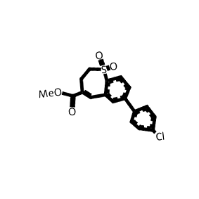 COC(=O)C1=Cc2cc(-c3ccc(Cl)cc3)ccc2S(=O)(=O)CC1